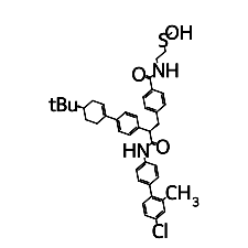 Cc1cc(Cl)ccc1-c1ccc(NC(=O)[C@H](Cc2ccc(C(=O)NCCSO)cc2)c2ccc(C3=CC[C@H](C(C)(C)C)CC3)cc2)cc1